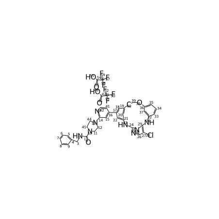 O=C(NCc1ccccc1)N1CCN(c2cc(-c3cc4cc(c3)Nc3ncc(Cl)c(n3)Nc3cccc(c3)OCC4)ccn2)CC1.O=C(O)C(F)(F)F.O=C(O)C(F)(F)F